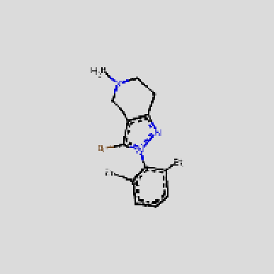 BN1CCc2nn(-c3c(CC)cccc3CC)c(Br)c2C1